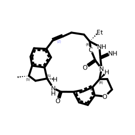 CC[C@]12CC/C=C\c3ccc4c(c3)[C@H](C[C@@H]4C)NC(=O)c3ccc4c(c3)[C@@H](CCO4)N(C(=N)N1)C(=O)C2